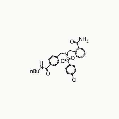 CCCCNC(=O)c1ccc(CN(Cc2ccccc2C(N)=O)S(=O)(=O)c2ccc(Cl)cc2)cc1